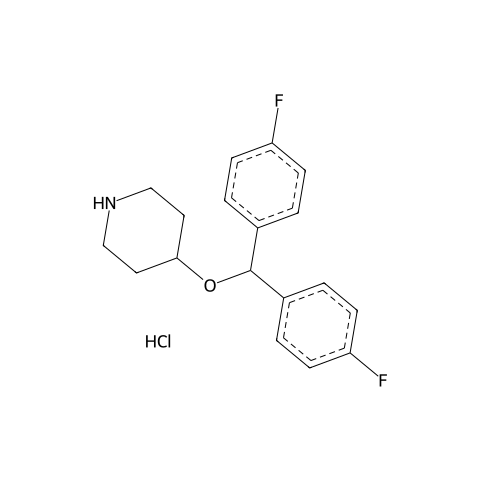 Cl.Fc1ccc(C(OC2CCNCC2)c2ccc(F)cc2)cc1